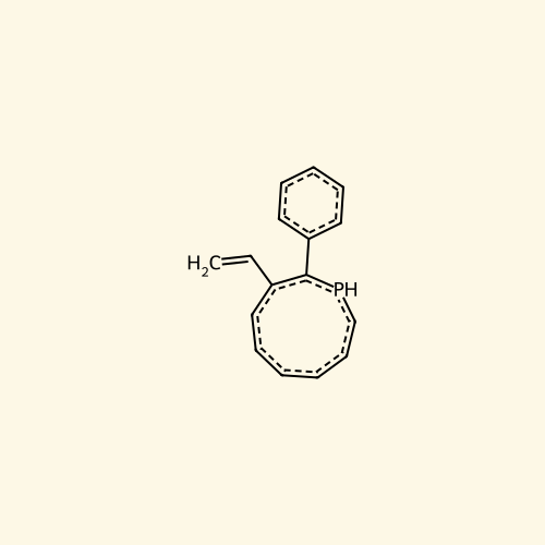 C=Cc1cccccc[pH]c1-c1ccccc1